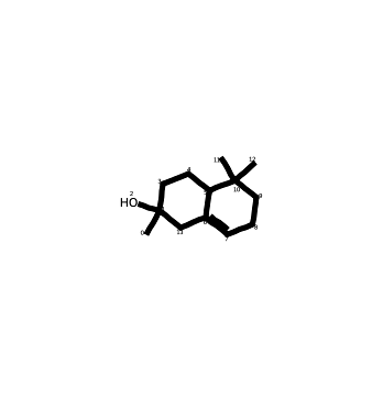 CC1(O)CCC2C(=CCCC2(C)C)C1